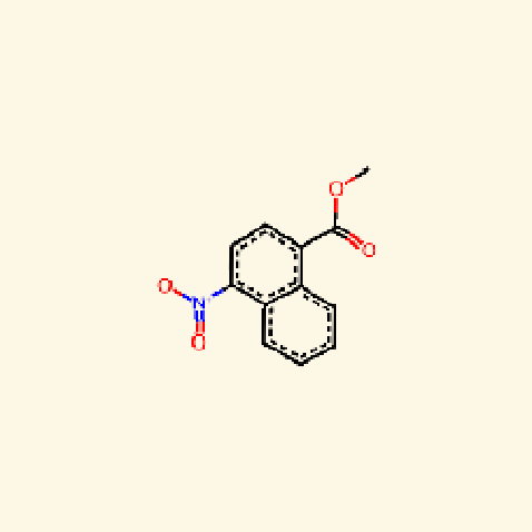 COC(=O)c1ccc([N+](=O)[O-])c2ccccc12